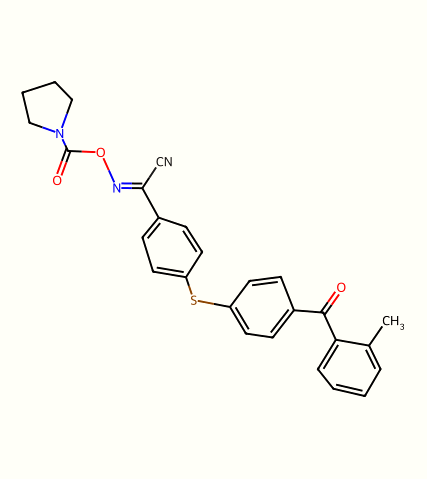 Cc1ccccc1C(=O)c1ccc(Sc2ccc(/C(C#N)=N/OC(=O)N3CCCC3)cc2)cc1